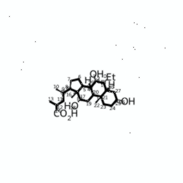 CC[C@H]1[C@@H](O)[C@H]2C3CC[C@H]([C@H](C)CC(C)C(=O)O)[C@@]3(C)[C@@H](O)CC2[C@@]2(C)CC[C@@H](O)C[C@@H]12